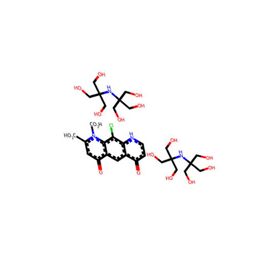 O=C(O)c1cc(=O)c2cc3c(=O)cc[nH]c3c(Cl)c2n1C(=O)O.OCC(CO)(CO)NC(CO)(CO)CO.OCC(CO)(CO)NC(CO)(CO)CO